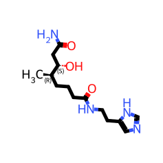 C[C@H](CCCC(=O)NCCc1cnc[nH]1)[C@@H](O)CC(N)=O